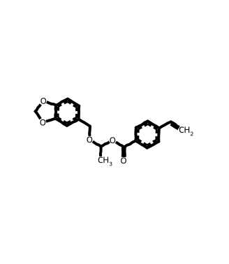 C=Cc1ccc(C(=O)OC(C)OCc2ccc3c(c2)OCO3)cc1